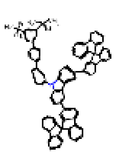 CCC(C)(C)c1cc(-c2ccc(-c3cccc(-n4c5ccc(-c6ccc7c(c6)C6(c8ccccc8-c8ccccc86)c6ccccc6-7)cc5c5cc(-c6ccc7c(c6)C6(c8ccccc8-c8ccccc86)c6ccccc6-7)ccc54)c3)cc2)cc(C(C)(C)CC)c1